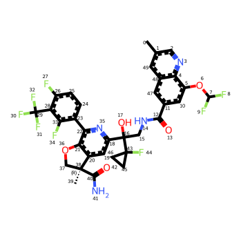 Cc1cnc2c(OC(F)F)cc(C(=O)NCC(O)(c3cc4c(c(-c5ccc(F)c(C(F)(F)F)c5F)n3)OC[C@]4(C)C(N)=O)C3(F)CC3)cc2c1